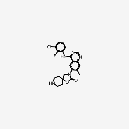 Cc1cc2ncnc(Nc3cccc(Cl)c3F)c2cc1N1CC2(CCNCC2)OC1=O